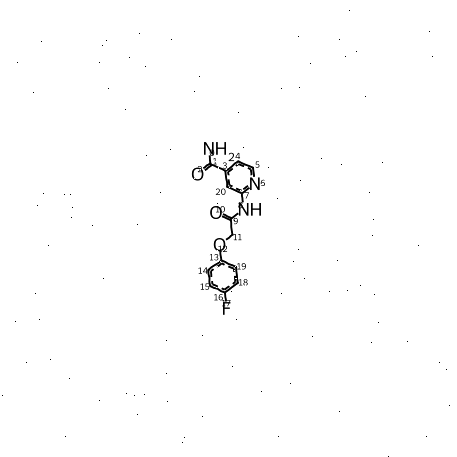 NC(=O)c1ccnc(NC(=O)COc2ccc(F)cc2)c1